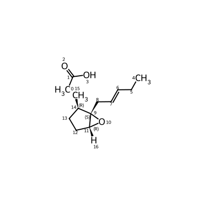 CC(=O)O.CCC=CC[C@@]12O[C@@H]1CC[C@H]2C